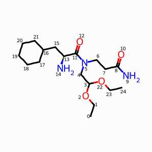 CCOC(CN(CCC(N)=O)C(=O)[C@@H](N)CC1CCCCC1)OCC